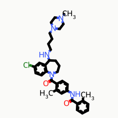 Cc1ccccc1C(=O)Nc1ccc(C(=O)N2CCCC(NCCCCN3CCN(C)CC3)c3cc(Cl)ccc32)c(C)c1